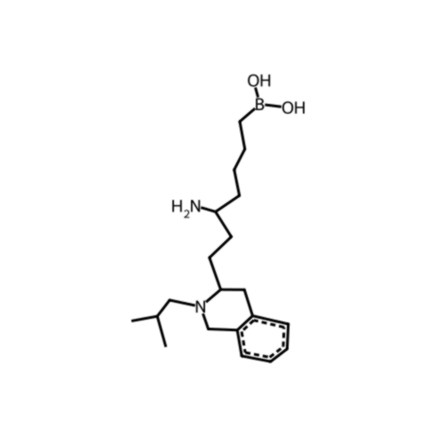 CC(C)CN1Cc2ccccc2CC1CCC(N)CCCCB(O)O